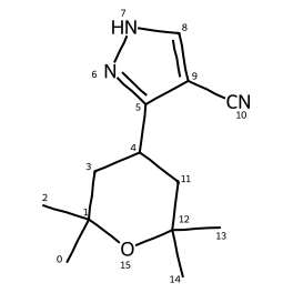 CC1(C)CC(c2n[nH]cc2C#N)CC(C)(C)O1